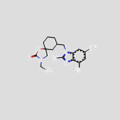 [2H]c1cc(C#N)cc2c1nc([2H])n2CC1CCCC2(C1)CN(CC(C)(C)C)C(=O)O2